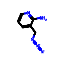 [N-]=[N+]=NCc1cccnc1N